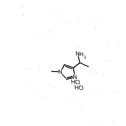 CC(N)c1cn(C)cn1.Cl.Cl